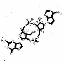 Nc1nc2c(ncn2[C@@H]2O[C@@H]3CO[P@](=O)(S)O[C@@H]4[C@@H](CO[P@@](=O)(S)O[C@@H]2[C@@H]3CO)C[C@@H](n2ccc3c(N)ncnc32)[C@@H]4O)c(=O)[nH]1